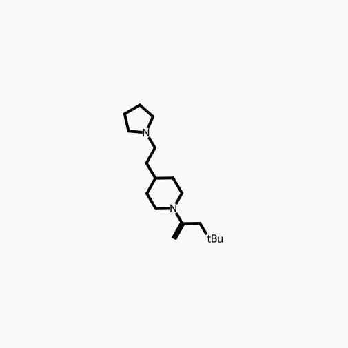 C=C(CC(C)(C)C)N1CCC(CCN2CCCC2)CC1